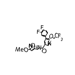 COc1cc(CNC(=O)c2cnc(OCC(F)(F)F)c(-c3ccc(F)c(F)c3)c2)on1